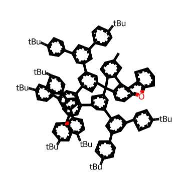 Cc1ccc2c(c1)-c1c(ccc3oc4ccccc4c13)C2(c1cc(-c2cc(-c3ccc(C(C)(C)C)cc3)cc(-c3ccc(C(C)(C)C)cc3)c2)cc(-c2cc(-c3ccc(C(C)(C)C)cc3)cc(-c3ccc(C(C)(C)C)cc3)c2)c1)c1cc(-c2cc(-c3ccc(C(C)(C)C)cc3)cc(-c3ccc(C(C)(C)C)cc3)c2)cc(-c2cc(-c3ccc(C(C)(C)C)cc3)cc(-c3ccc(C(C)(C)C)cc3)c2)c1